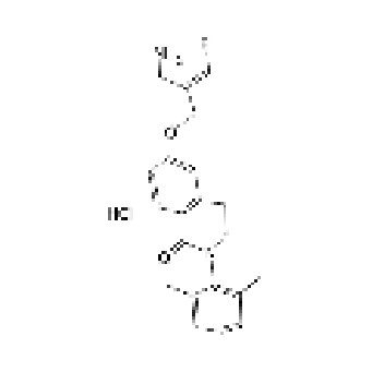 Cc1cccc(C)c1N1CCc2cc(OC/C(=C/F)CN)ccc2C1=O.Cl